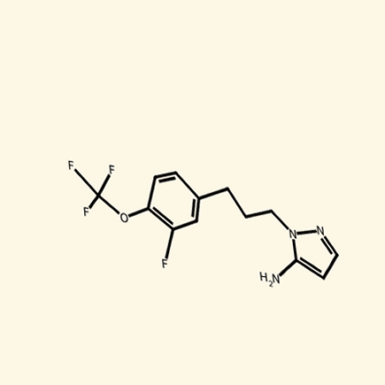 Nc1ccnn1CCCc1ccc(OC(F)(F)F)c(F)c1